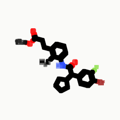 Cc1c(CCC(=O)OC(C)(C)C)cccc1NC(=O)C(c1ccc(Br)c(F)c1)C1CCCC1